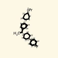 CCC[C@H]1CC[C@H](c2ccc(C(C)[C@H]3CC[C@H](c4ccc(F)cc4)CC3)cc2)CC1